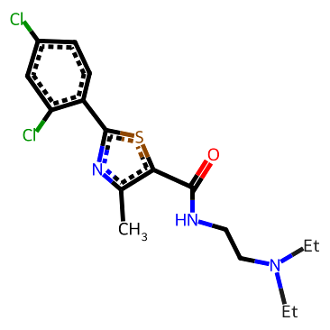 CCN(CC)CCNC(=O)c1sc(-c2ccc(Cl)cc2Cl)nc1C